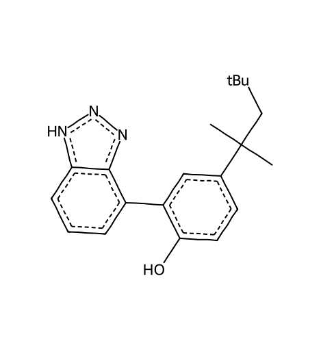 CC(C)(C)CC(C)(C)c1ccc(O)c(-c2cccc3[nH]nnc23)c1